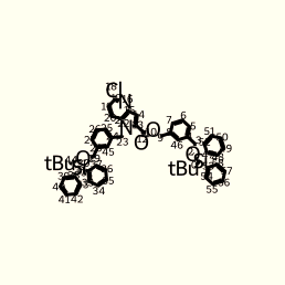 CC(C)(C)[Si](OCc1cccc(COC(=O)c2cc3nc(Cl)ccc3n2Cc2cccc(CO[Si](c3ccccc3)(c3ccccc3)C(C)(C)C)c2)c1)(c1ccccc1)c1ccccc1